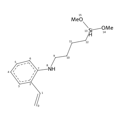 C=Cc1ccccc1NCCCC[SiH](OC)OC